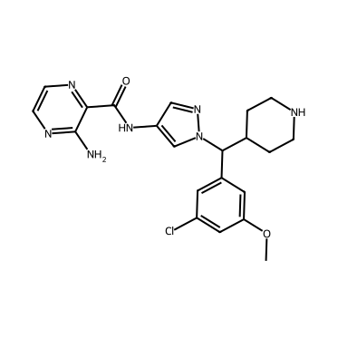 COc1cc(Cl)cc(C(C2CCNCC2)n2cc(NC(=O)c3nccnc3N)cn2)c1